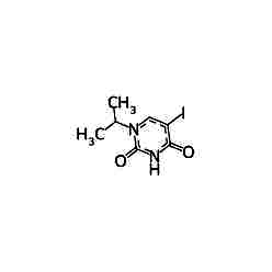 CC(C)n1cc(I)c(=O)[nH]c1=O